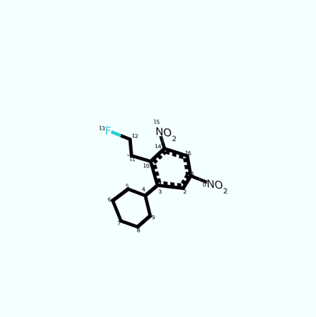 O=[N+]([O-])c1cc(C2CCCCC2)c([CH]CF)c([N+](=O)[O-])c1